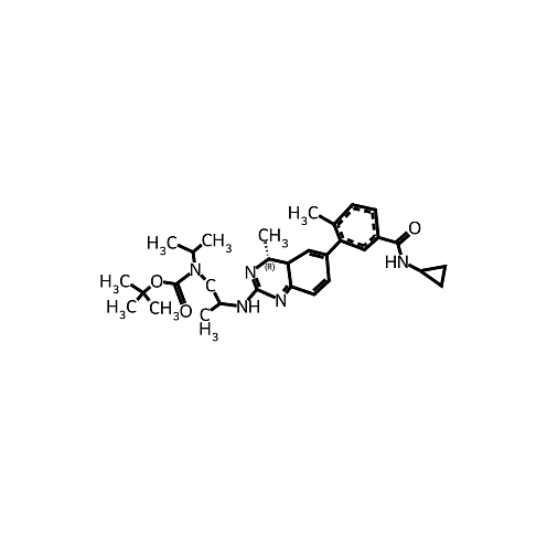 Cc1ccc(C(=O)NC2CC2)cc1C1=CC2C(=NC(NC(C)CN(C(=O)OC(C)(C)C)C(C)C)=N[C@@H]2C)C=C1